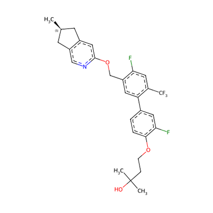 C[C@@H]1Cc2cnc(OCc3cc(-c4ccc(OCCC(C)(C)O)c(F)c4)c(C(F)(F)F)cc3F)cc2C1